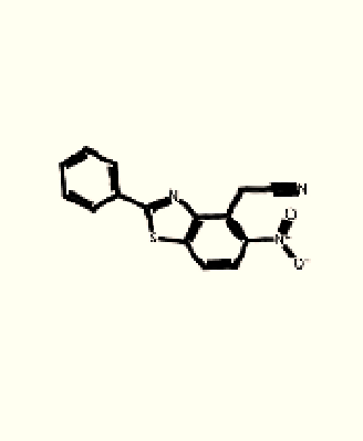 N#CCc1c([N+](=O)[O-])ccc2sc(-c3ccccc3)nc12